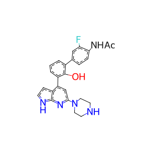 CC(=O)Nc1ccc(-c2cccc(-c3cc(N4CCNCC4)nc4[nH]ccc34)c2O)cc1F